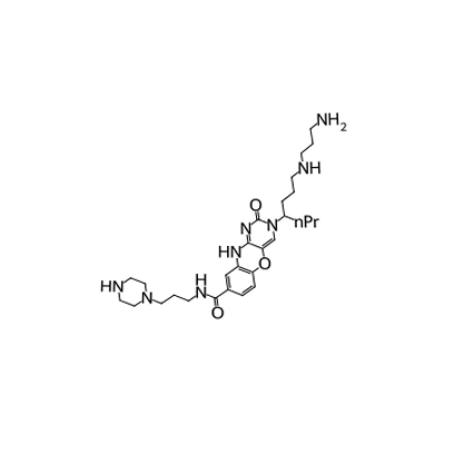 CCCC(CCCNCCCN)n1cc2c(nc1=O)Nc1cc(C(=O)NCCCN3CCNCC3)ccc1O2